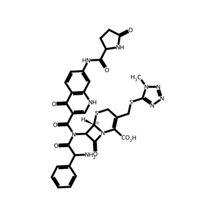 Cn1nnnc1SCC1=C(C(=O)O)N2C(=O)C(N(C(=O)c3c[nH]c4cc(NC(=O)C5CCC(=O)N5)ccc4c3=O)C(=O)C(N)c3ccccc3)[C@@H]2SC1